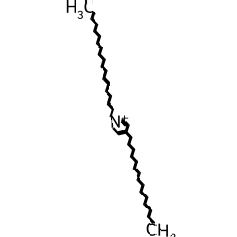 CCCCCCCCCCCCCCCCCCC[n+]1ccc(CCCCCCCCCCCCCCCC)cc1